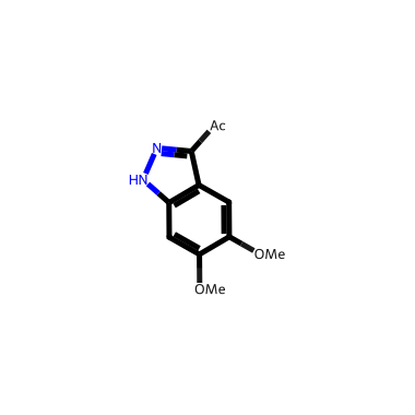 COc1cc2[nH]nc(C(C)=O)c2cc1OC